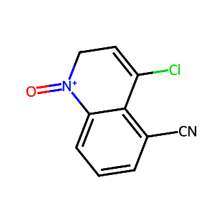 N#Cc1cccc2c1C(Cl)=CC[N+]2=O